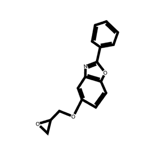 c1ccc(-c2nc3cc(OCC4CO4)ccc3o2)cc1